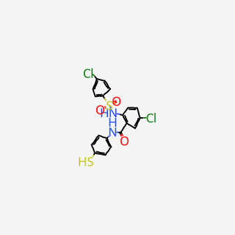 O=C(Nc1ccc(S)cc1)c1cc(Cl)ccc1NS(=O)(=O)c1ccc(Cl)cc1